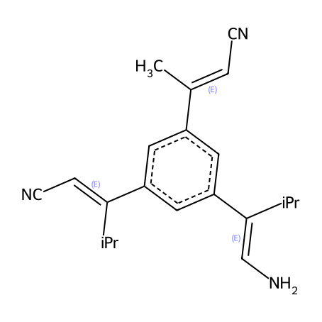 C/C(=C\C#N)c1cc(/C(=C/N)C(C)C)cc(/C(=C/C#N)C(C)C)c1